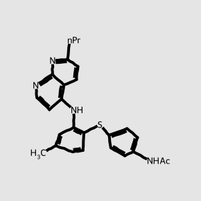 CCCc1ccc2c(Nc3cc(C)ccc3Sc3ccc(NC(C)=O)cc3)ccnc2n1